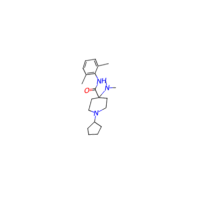 Cc1cccc(C)c1NC(=O)C1(N(C)C)CCN(C2CCCC2)CC1